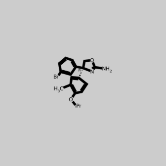 Cc1cc([C@]2(c3cccc(Br)c3)COC(N)=N2)ccc1OC(C)C